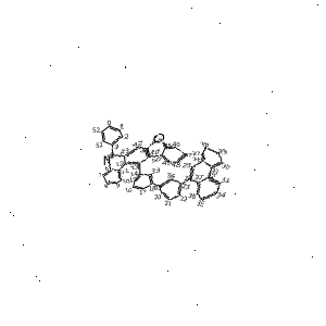 c1ccc(-c2nc3ccccc3c3c(-c4cccc(-c5cccc(-c6cc7ccccc7c7ccccc67)c5)c4)c4c(cc23)oc2ccccc24)cc1